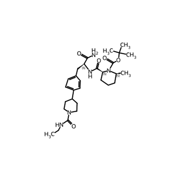 CCNC(=O)N1CCC(c2ccc(C[C@H](NC(=O)[C@@H]3CCC[C@H](C)N3C(=O)OC(C)(C)C)C(N)=O)cc2)CC1